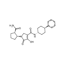 NC(=O)[C@@H]1CCC[C@@H]1N1CC(C(=O)N[C@H]2CC[C@H](c3ccccc3)CC2)=C(O)C1=O